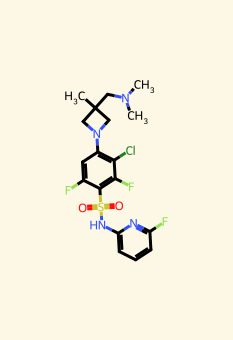 CN(C)CC1(C)CN(c2cc(F)c(S(=O)(=O)Nc3cccc(F)n3)c(F)c2Cl)C1